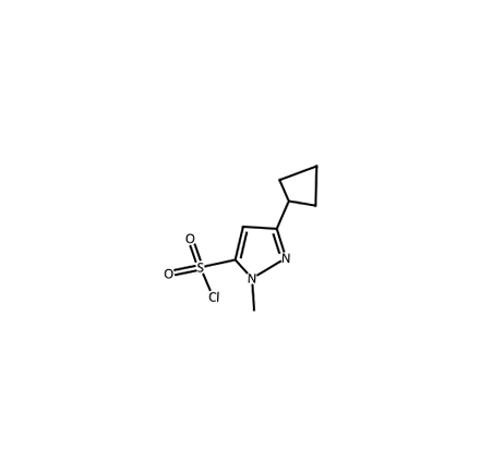 Cn1nc(C2CCC2)cc1S(=O)(=O)Cl